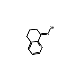 O/N=C1\CCCc2cccnc21